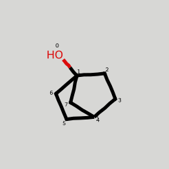 OC12CC[C](CC1)C2